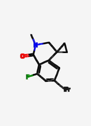 CC(C)c1cc(F)c2c(c1)C1(CC1)CN(C)C2=O